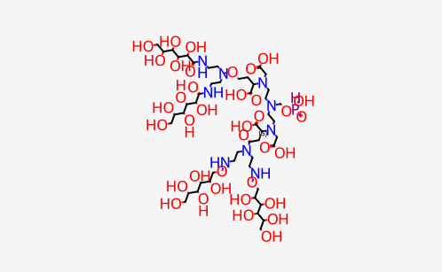 O=C(O)CN(CCN(CCN(CC(=O)O)[C@@H](CC(=O)N(CCNOCC(O)C(O)C(O)C(O)CO)CCNOCC(O)C(O)C(O)C(O)CO)C(=O)O)CO[PH](=O)O)C(CCON(CCNC(=O)C(O)C(O)C(O)C(O)CO)CCNC(=O)C(O)C(O)C(O)C(O)CO)C(=O)O